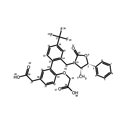 C[C@H]1[C@@H](c2ccccc2)OC(=O)N1Cc1cc(C(F)(F)F)ccc1-c1cc(CC(=O)O)ccc1OCC(=O)O